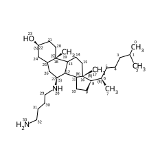 CC(C)CCC[C@@H](C)[C@H]1CCC2C3C(CC[C@@]21C)[C@@]1(C)CC[C@H](O)CC1C[C@@H]3NCCCCN